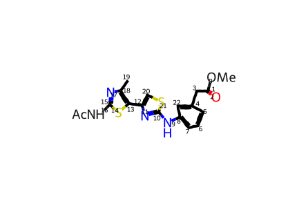 COC(=O)Cc1cccc(Nc2nc(-c3sc(NC(C)=O)nc3C)cs2)c1